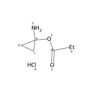 CCC(=O)OC1(N)CC1.Cl